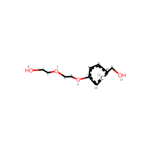 OCCOCCOc1ccc(CO)cc1